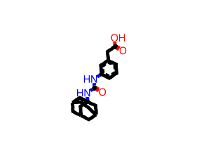 O=C(O)Cc1cccc(NC(=O)NC23CC4CC(CC(C4)C2)C3)c1